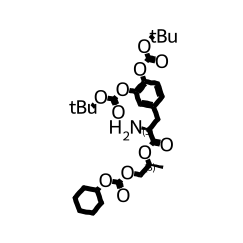 C[C@@H](COC(=O)OC1CCCCC1)OC(=O)[C@@H](N)Cc1ccc(OC(=O)OC(C)(C)C)c(OC(=O)OC(C)(C)C)c1